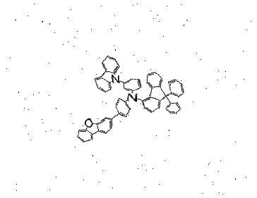 c1ccc(C2(c3ccccc3)c3ccccc3-c3c(N(c4ccc(-c5ccc6c(c5)oc5ccccc56)cc4)c4cccc(-n5c6ccccc6c6ccccc65)c4)cccc32)cc1